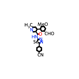 COc1ccc(C=O)cc1-c1cc(C)ncc1C(=O)Nc1nnc(-c2ccc(C#N)cc2)[se]1